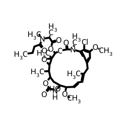 CCCC(=O)N(C)[C@@H](C)C(=O)OC1CC(=O)N(C)c2cc(cc(OC)c2Cl)C/C(C)=C/C=C/C(OC)C2(O)CC(OC(=O)N2)C(C)C2OC12C